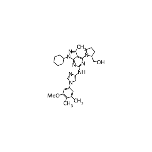 COc1cc(-n2cnc(Nc3nc(N4CCC[C@H]4CO)c4c(C)nn(C5CCCCC5)c4n3)c2)cc(C)c1C